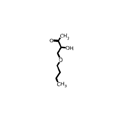 CCCCOCC(O)C(C)=O